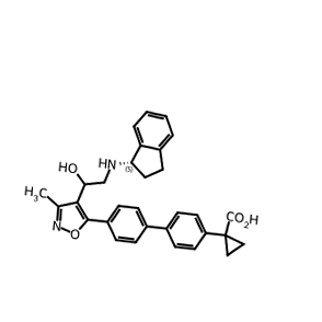 Cc1noc(-c2ccc(-c3ccc(C4(C(=O)O)CC4)cc3)cc2)c1C(O)CN[C@H]1CCc2ccccc21